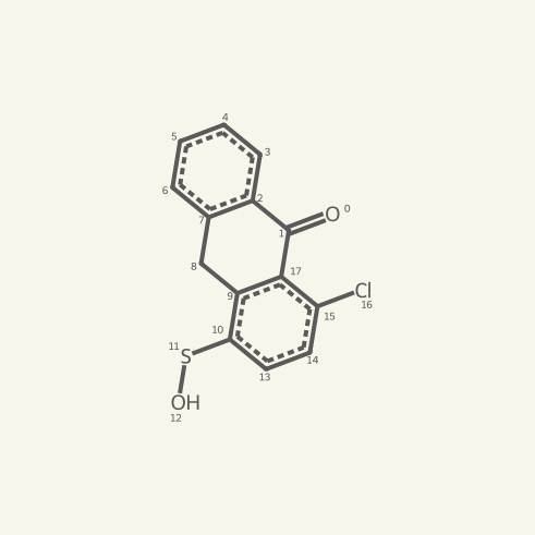 O=C1c2ccccc2Cc2c(SO)ccc(Cl)c21